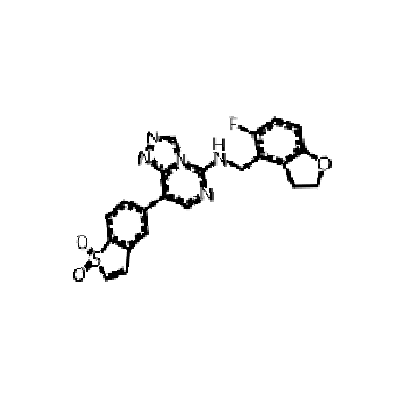 O=S1(=O)C=Cc2cc(-c3cnc(NCc4c(F)ccc5c4CCO5)n4cnnc34)ccc21